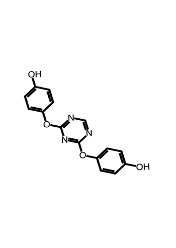 Oc1ccc(Oc2ncnc(Oc3ccc(O)cc3)n2)cc1